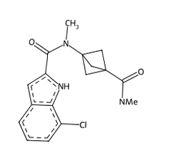 CNC(=O)C12CC(N(C)C(=O)c3cc4cccc(Cl)c4[nH]3)(C1)C2